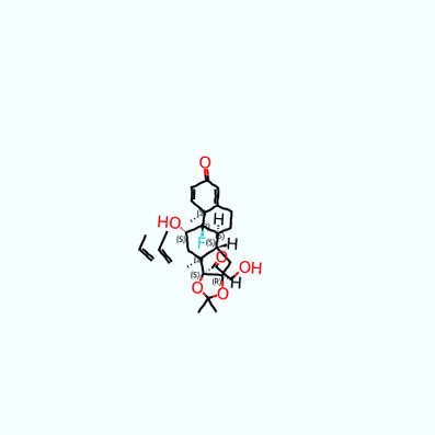 C=CC.C=CC.CC1(C)O[C@@H]2C[C@H]3[C@@H]4CCC5=CC(=O)C=C[C@]5(C)[C@@]4(F)[C@@H](O)C[C@]3(C)[C@]2(C(=O)CO)O1